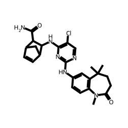 CN1C(=O)CCC(C)(C)c2cc(Nc3ncc(Cl)c(NC4C5C=CC(C5)C4C(N)=O)n3)ccc21